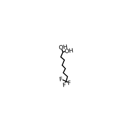 OC(O)CCCCCCC(F)(F)F